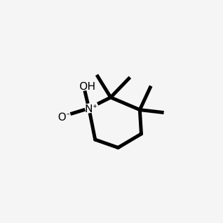 CC1(C)CCC[N+]([O-])(O)C1(C)C